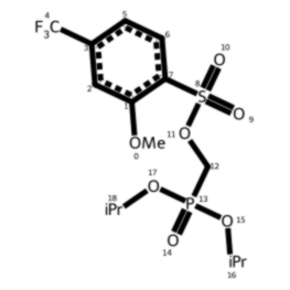 COc1cc(C(F)(F)F)ccc1S(=O)(=O)OCP(=O)(OC(C)C)OC(C)C